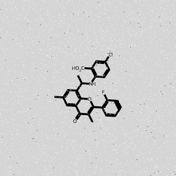 Cc1cc(C(C)Nc2ccc(Cl)cc2C(=O)O)c2oc(-c3ccc#cc3F)c(C)c(=O)c2c1